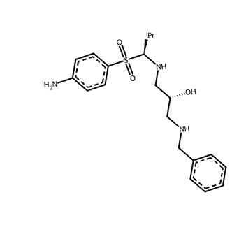 CC(C)[C@@H](NC[C@H](O)CNCc1ccccc1)S(=O)(=O)c1ccc(N)cc1